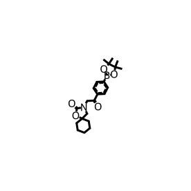 CC1(C)OB(c2ccc(C(=O)CN3CC4(CCCCC4)OC3=O)cc2)OC1(C)C